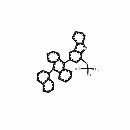 CC(C)(C)Sc1cc(-c2c3ccccc3c(-c3cccc4ccccc34)c3ccccc23)cc2c1oc1ccccc12